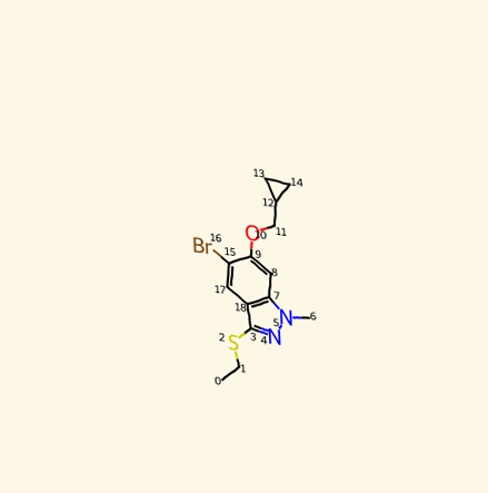 CCSc1nn(C)c2cc(OCC3CC3)c(Br)cc12